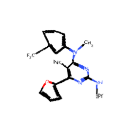 CCCNc1nc(-c2ccco2)c(C#N)c(N(C)c2cccc(C(F)(F)F)c2)n1